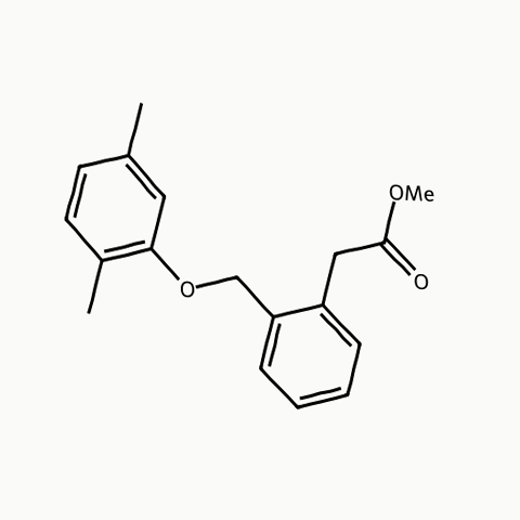 COC(=O)Cc1ccccc1COc1cc(C)ccc1C